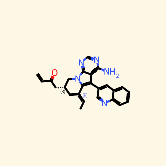 C=CC(=O)C[C@H]1C/C(=C\C)c2c(-c3cnc4ccccc4c3)c3c(N)ncnc3n2C1